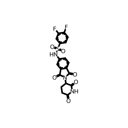 O=C1CCC(N2C(=O)c3ccc(NS(=O)(=O)c4ccc(F)c(F)c4)cc3C2=O)C(=O)N1